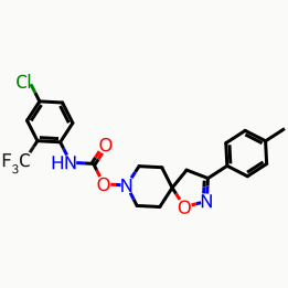 Cc1ccc(C2=NOC3(CCN(OC(=O)Nc4ccc(Cl)cc4C(F)(F)F)CC3)C2)cc1